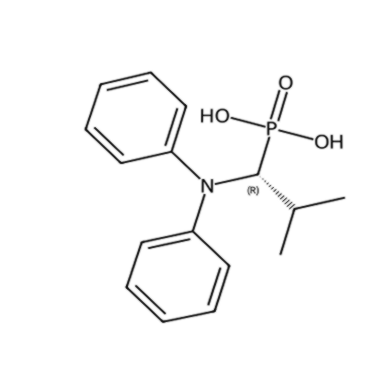 CC(C)[C@H](N(c1ccccc1)c1ccccc1)P(=O)(O)O